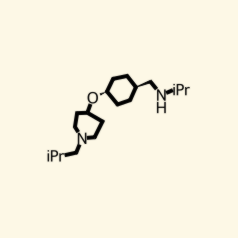 CC(C)CN1CCC(O[C@H]2CC[C@H](CNC(C)C)CC2)CC1